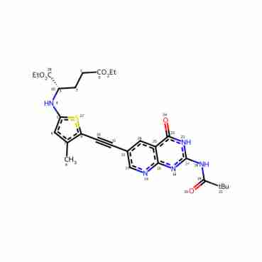 CCOC(=O)CC[C@H](Nc1cc(C)c(C#Cc2cnc3nc(NC(=O)C(C)(C)C)[nH]c(=O)c3c2)s1)C(=O)OCC